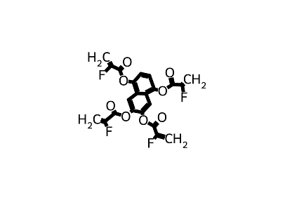 C=C(F)C(=O)Oc1cc2c(OC(=O)C(=C)F)ccc(OC(=O)C(=C)F)c2cc1OC(=O)C(=C)F